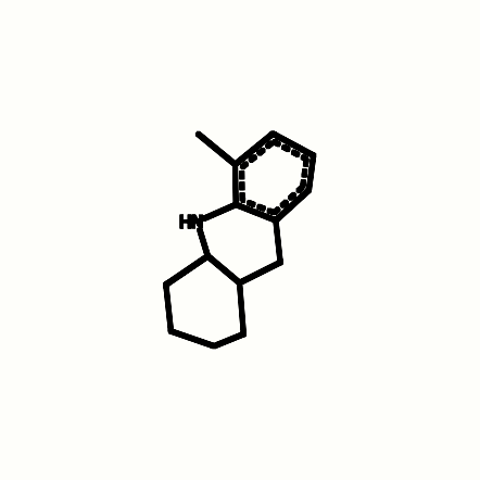 Cc1cccc2c1NC1CCCCC1C2